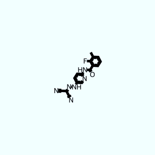 Cc1cccc(C(=O)Nc2ccc(NN=C(C#N)C#N)cn2)c1F